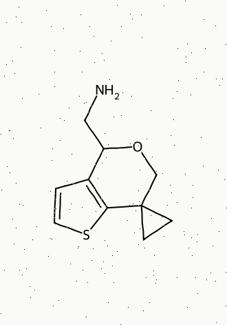 NCC1OCC2(CC2)c2sccc21